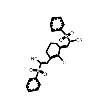 N#C/C(=C\C1=C(Cl)C(=C/C(C#N)S(=O)(=O)c2ccccc2)/CCC1)S(=O)(=O)c1ccccc1